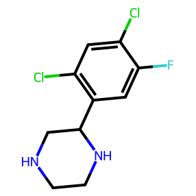 Fc1cc(C2CNCCN2)c(Cl)cc1Cl